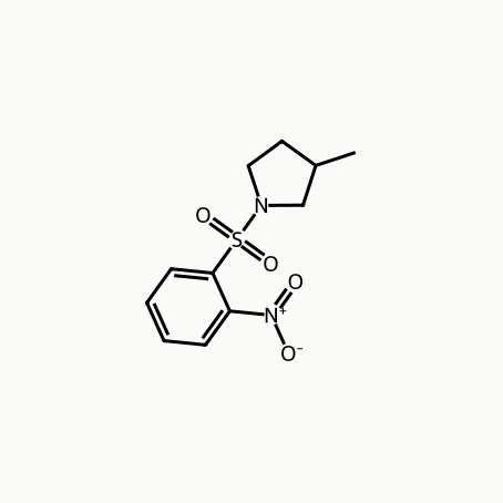 CC1CCN(S(=O)(=O)c2ccccc2[N+](=O)[O-])C1